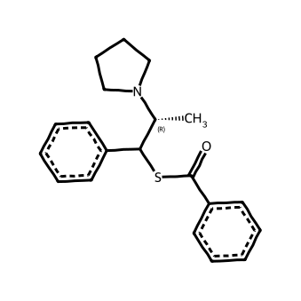 C[C@H](C(SC(=O)c1ccccc1)c1ccccc1)N1CCCC1